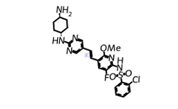 COc1nc(NS(=O)(=O)c2ccccc2Cl)c(F)cc1/C=C/c1cnc(N[C@H]2CC[C@H](N)CC2)nc1